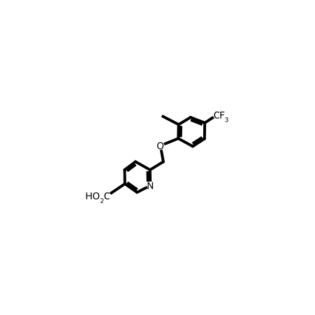 Cc1cc(C(F)(F)F)ccc1OCc1ccc(C(=O)O)cn1